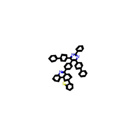 c1ccc(-c2ccc(-c3nc(-c4ccccc4)nc(-c4ccc(-c5ccccc5)cc4)c3-c3ccc(-c4nc5ccccc5c5c4ccc4c6ccccc6sc45)cc3)cc2)cc1